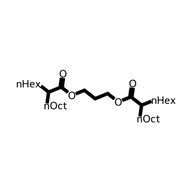 CCCCCCCCC(CCCCCC)C(=O)OCCCOC(=O)C(CCCCCC)CCCCCCCC